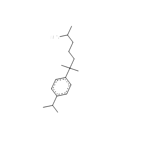 CC(N)CCCC(C)(C)c1ccc(C(C)C)cc1